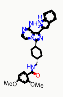 COc1ccc(C(=O)NC[C@H]2CC[C@H](c3nc(-c4cc5ccccc5[nH]4)c4c(N)nccn43)CC2)c(OC)c1